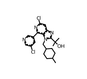 CC1CCC(Cn2c(C(C)(C)O)nc3cc(Cl)nc(-c4cncc(Cl)c4)c32)CC1